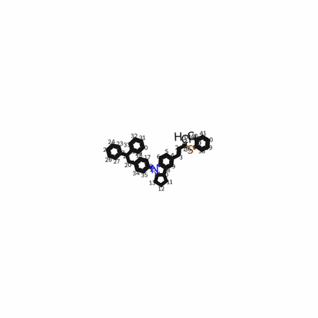 C=C(/C=C/c1ccc2c(c1)C1CCCC1N2c1ccc(CC(c2ccccc2)c2ccccc2)cc1)Sc1ccccc1C